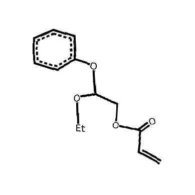 C=CC(=O)OCC(OCC)Oc1ccccc1